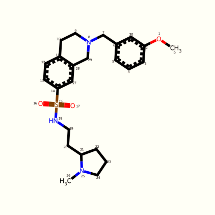 COc1cccc(CN2CCc3ccc(S(=O)(=O)NCCC4CCCN4C)cc3C2)c1